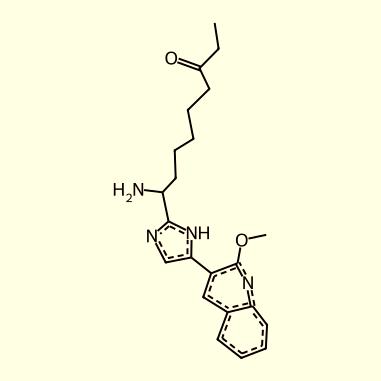 CCC(=O)CCCCCC(N)c1ncc(-c2cc3ccccc3nc2OC)[nH]1